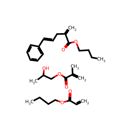 C=C(C)C(=O)OCC(C)O.C=C(CC=Cc1ccccc1)C(=O)OCCCC.C=CC(=O)OCCCC